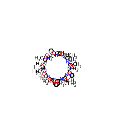 CC[C@H](C)[C@H]1C(=O)N(C)[C@@H](CC(C)C)C(=O)N[C@H](C(=O)N2CCCCC2)CC(=O)N(C)[C@@H](C)C(=O)N(C)[C@@H](CC(C)C)C(=O)N[C@@H](CC(C)C)C(=O)N(C)[C@@H](Cc2ccccc2)C(=O)N[C@@H](COC(C)(C)C)C(=O)N(C)[C@@H](Cc2ccccc2)C(=O)N[C@@H]([C@@H](C)O)C(=O)N(C)[C@@H](C)C(=O)N1C